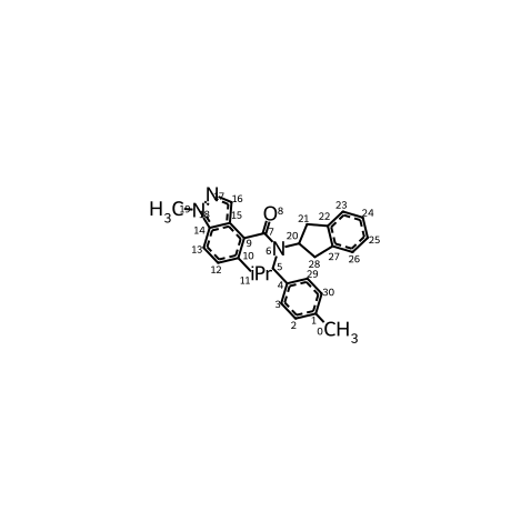 Cc1ccc(CN(C(=O)c2c(C(C)C)ccc3c2cnn3C)C2Cc3ccccc3C2)cc1